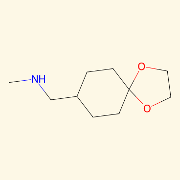 CNCC1CCC2(CC1)OCCO2